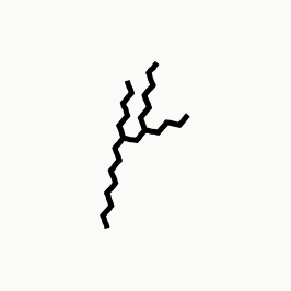 CCCCCCCCC(CCCCC)CC(CCCC)CCCCCC